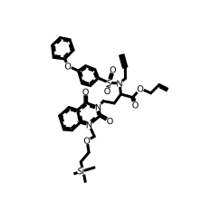 C#CCN(C(CCn1c(=O)c2ccccc2n(COCC[Si](C)(C)C)c1=O)C(=O)OCC=C)S(=O)(=O)c1ccc(Oc2ccccc2)cc1